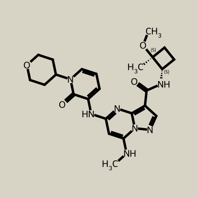 CNc1cc(Nc2cccn(C3CCOCC3)c2=O)nc2c(C(=O)N[C@H]3CC[C@]3(C)OC)cnn12